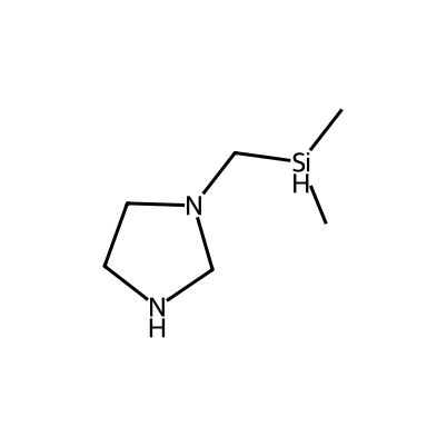 C[SiH](C)CN1CCNC1